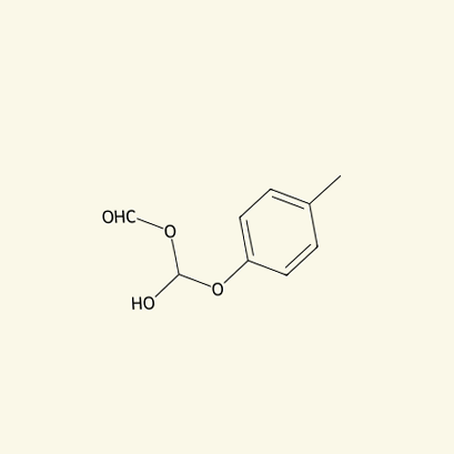 Cc1ccc(OC(O)OC=O)cc1